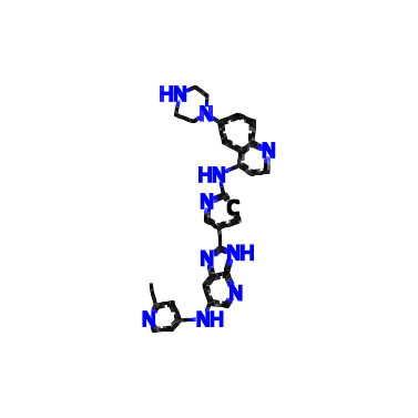 Cc1cc(Nc2cnc3[nH]c(-c4ccc(Nc5ccnc6ccc(N7CCNCC7)cc56)nc4)nc3c2)ccn1